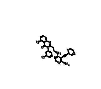 Nc1ncnc(NCCc2nc3cccc(Cl)c3c(=O)n2-c2cccc(Cl)c2)c1C#Cc1cnccn1